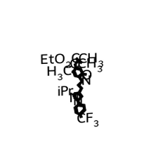 CCOC(=O)C(C)(C)Oc1cc2onc(CCc3cn(-c4ccc(C(F)(F)F)cc4)nc3C(C)C)c2cc1C